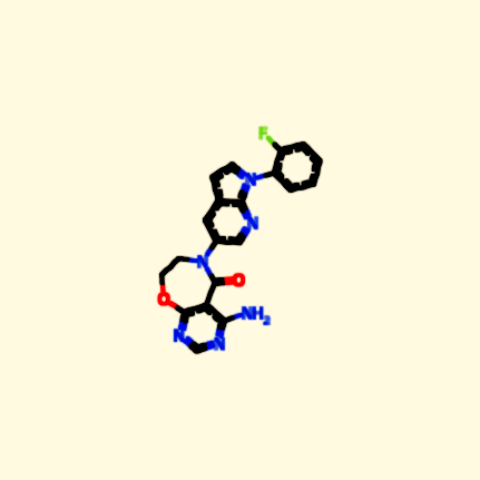 Nc1ncnc2c1C(=O)N(c1cnc3c(ccn3-c3ccccc3F)c1)CCO2